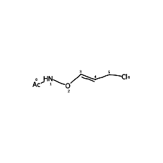 CC(=O)NOC=CCCl